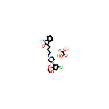 O=C(O)C(=O)O.O=C1Nc2ccccc2C1CCCCN1CCN(c2cc(Cl)cc3c2OCCO3)CC1